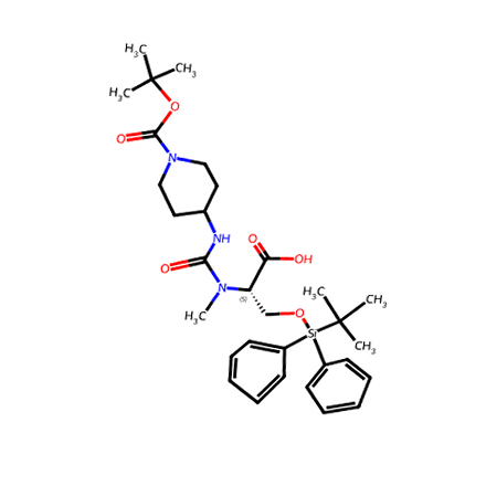 CN(C(=O)NC1CCN(C(=O)OC(C)(C)C)CC1)[C@@H](CO[Si](c1ccccc1)(c1ccccc1)C(C)(C)C)C(=O)O